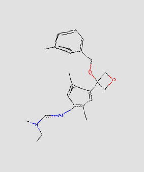 CCN(C)C=Nc1cc(C)c(C2(OCc3cccc(C)c3)COC2)cc1C